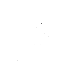 O=S(=O)(Nc1ccccc1)c1ccc2ccccc2c1CCl